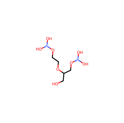 OCC(CON(O)O)OCCON(O)O